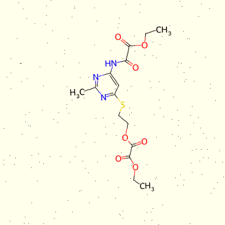 CCOC(=O)C(=O)Nc1cc(SCCOC(=O)C(=O)OCC)nc(C)n1